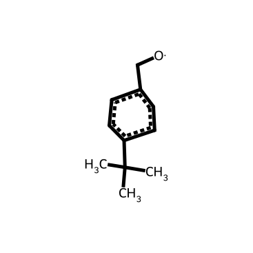 CC(C)(C)c1ccc(C[O])cc1